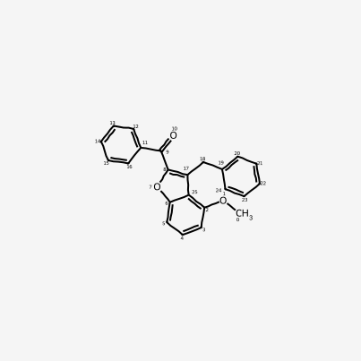 COc1cccc2oc(C(=O)c3ccccc3)c(Cc3ccccc3)c12